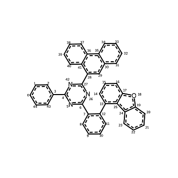 c1ccc(-c2nc(-c3ccccc3-c3cccc4oc5ccccc5c34)nc(-c3cc4ccccc4c4ccccc34)n2)cc1